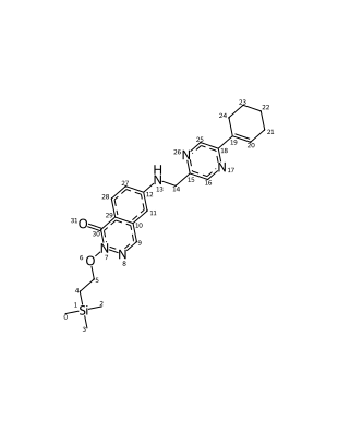 C[Si](C)(C)CCOn1ncc2cc(NCc3cnc(C4=CCCCC4)cn3)ccc2c1=O